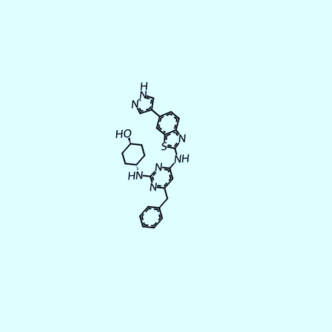 O[C@H]1CC[C@H](Nc2nc(Cc3ccccc3)cc(Nc3nc4ccc(-c5cn[nH]c5)cc4s3)n2)CC1